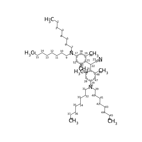 CCCCCCCCN(CCCCCCCC)c1cc(C)c(C(C#N)c2c(C)cc(N(CCCCCCCC)CCCCCCCC)cc2C)c(C)c1